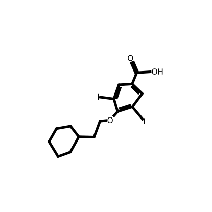 O=C(O)c1cc(I)c(OCCC2CCCCC2)c(I)c1